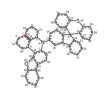 c1ccc(-c2c(N(c3ccccc3)c3ccc4c(c3)-c3ccccc3C43c4ccccc4Sc4ccccc43)ccc3c2oc2ccccc23)cc1